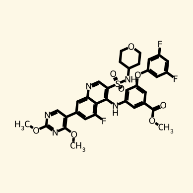 COC(=O)c1cc(Nc2c(S(=O)(=O)NC3CCOCC3)cnc3cc(-c4cnc(OC)nc4OC)cc(F)c23)cc(Oc2cc(F)cc(F)c2)c1